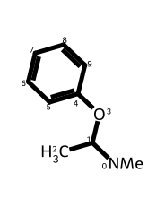 CNC(C)Oc1ccccc1